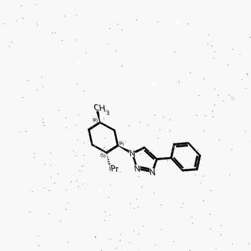 CC(C)[C@@H]1CC[C@@H](C)C[C@H]1n1cc(-c2ccccc2)nn1